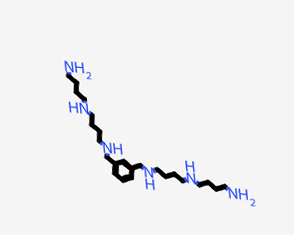 NCCCCNCCCCNCc1cccc(CNCCCCNCCCCN)c1